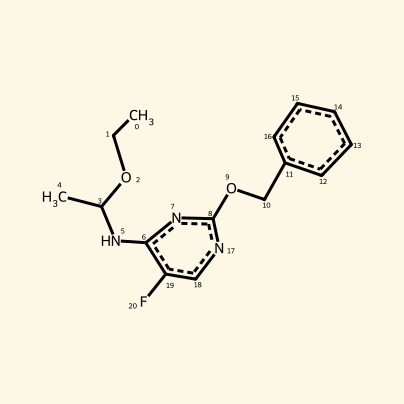 CCOC(C)Nc1nc(OCc2ccccc2)ncc1F